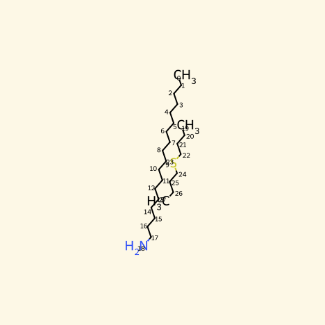 CCCCCCCCCCCCCCCCCCN.CCCCSCCCC